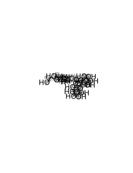 C[C@@H](CO)CCC1(O)OC2C[C@H]3[C@@H]4CC=C5CC(O[C@@H]6OC(CO)[C@@H](O[C@@H]7OC(O)[C@H](O)C(O)[C@@H]7O)C(O)[C@@H]6O[C@@H]6OC(O)[C@H](O)C(O)[C@@H]6O)CC[C@]5(C)[C@H]4CC[C@]3(C)[C@H]2[C@@H]1C